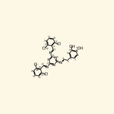 Oc1ccc(CC=Nc2nc(N=Cc3c(Cl)cccc3Cl)nc(N=Cc3c(Cl)cccc3Cl)n2)cc1O